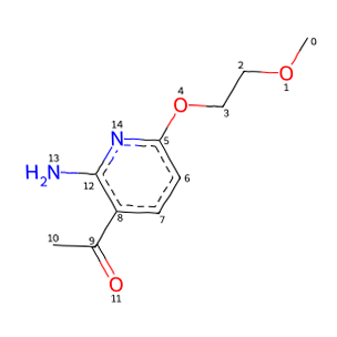 COCCOc1ccc(C(C)=O)c(N)n1